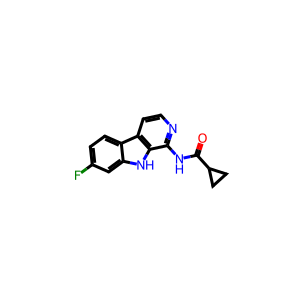 O=C(Nc1nccc2c1[nH]c1cc(F)ccc12)C1CC1